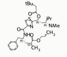 C=CCOC(=O)[C@@H](C)C[C@H](Cc1ccccc1)NC(=O)c1csc([C@@H](C[C@@H](NC)C(C)C)OC(=O)CC(C)(C)C)n1